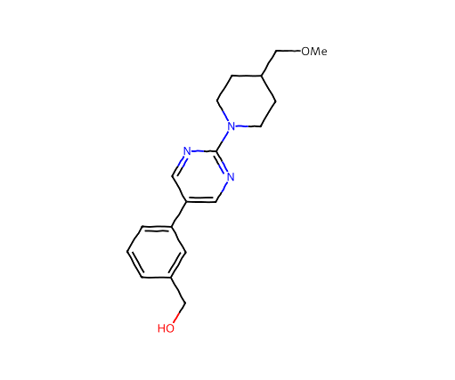 COCC1CCN(c2ncc(-c3cccc(CO)c3)cn2)CC1